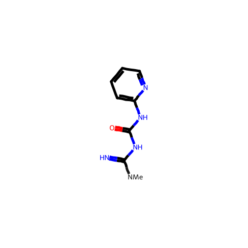 CNC(=N)NC(=O)Nc1ccccn1